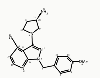 COc1ccc(Cn2nc(N3CC[C@@H](N)C3)c3c(Cl)ccnc32)cc1